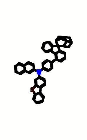 c1ccc2c(c1)-c1c(-c3ccc(N(c4ccc5ccccc5c4)c4ccc5c(c4)sc4ccccc45)cc3)cccc1C21C2CC3CC(C2)CC1C3